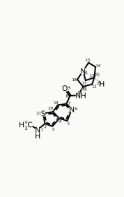 CNc1cc2cnc(C(=O)N[C@@H]3C[C@@H]4CCN(C4)C3)cc2s1